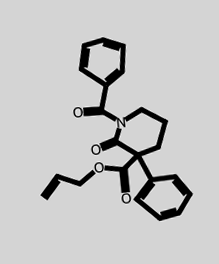 C=CCOC(=O)C1(c2ccccc2)CCCN(C(=O)c2ccccc2)C1=O